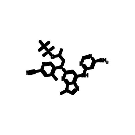 Cc1cc(C#N)ncc1N(CC(C)O[Si](C)(C)C(C)(C)C)c1cc(Nc2cc(N)ncn2)c2ncn(C)c2n1